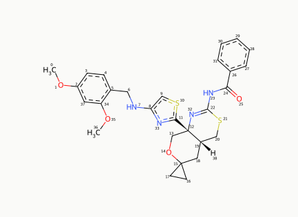 COc1ccc(CNc2csc([C@]34COC5(CC5)C[C@H]3CSC(NC(=O)c3ccccc3)=N4)n2)c(OC)c1